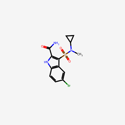 CN(C1CC1)S(=O)(=O)c1c(C(N)=O)[nH]c2ccc(Br)cc12